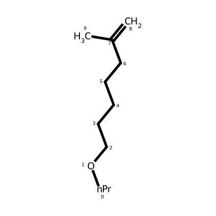 [CH2]CCOCCCCCC(=C)C